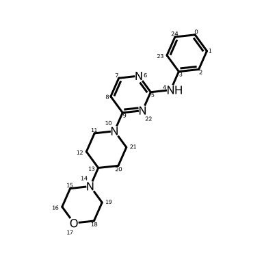 c1ccc(Nc2nccc(N3CCC(N4CCOCC4)CC3)n2)cc1